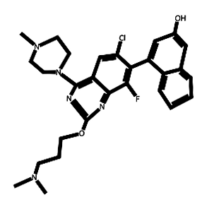 CN(C)CCCOc1nc(N2CCN(C)CC2)c2cc(Cl)c(-c3cc(O)cc4ccccc34)c(F)c2n1